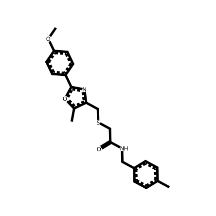 COc1ccc(-c2nc(CSCC(=O)NCc3ccc(C)cc3)c(C)o2)cc1